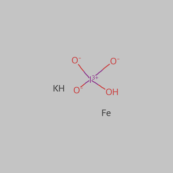 [Fe].[KH].[O-][I+3]([O-])([O-])O